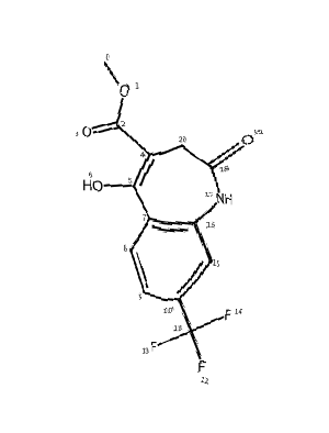 COC(=O)C1=C(O)c2ccc(C(F)(F)F)cc2NC(=O)C1